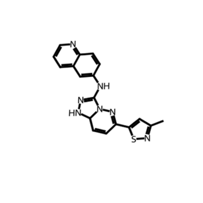 Cc1cc(C2=NN3C(Nc4ccc5ncccc5c4)=NNC3C=C2)sn1